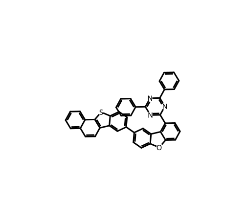 c1ccc(-c2nc(-c3ccccc3)nc(-c3cccc4oc5ccc(-c6ccc7sc8c9ccccc9ccc8c7c6)cc5c34)n2)cc1